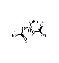 CCCC[SH](OC(=O)CC)OC(=O)CC